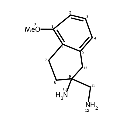 COc1cccc2c1CCC(N)(CN)C2